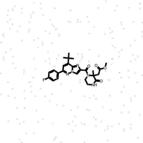 COC(=O)CC1(C)C(=O)NCCN1C(=O)c1cn2nc(-c3ccc(F)cc3)cc(C(C)(C)C)c2n1